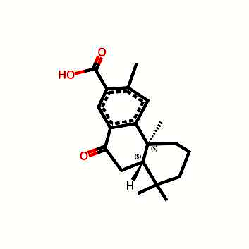 Cc1cc2c(cc1C(=O)O)C(=O)C[C@H]1C(C)(C)CCC[C@]21C